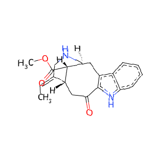 C/C=C1/CN[C@H]2Cc3c([nH]c4ccccc34)C(=O)C[C@H]1[C@@H]2C(=O)OC